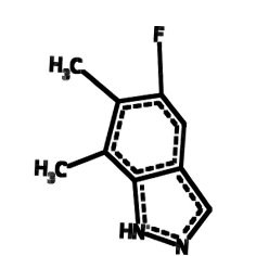 Cc1c(F)cc2cn[nH]c2c1C